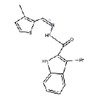 Cc1ccsc1/C=N\NC(=O)c1[nH]c2ccccc2c1C(C)C